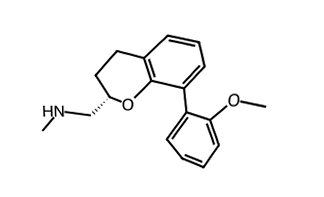 CNC[C@@H]1CCc2cccc(-c3ccccc3OC)c2O1